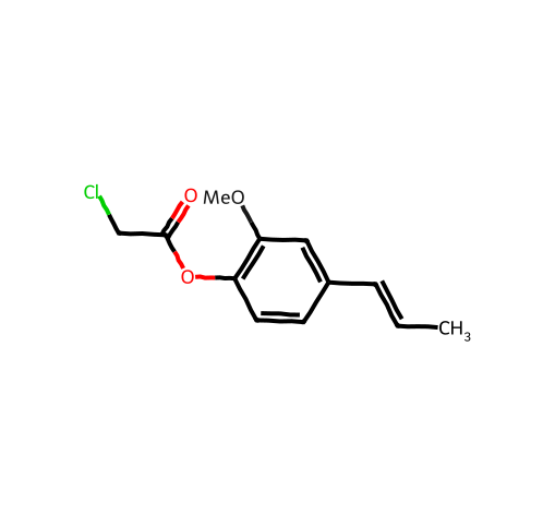 CC=Cc1ccc(OC(=O)CCl)c(OC)c1